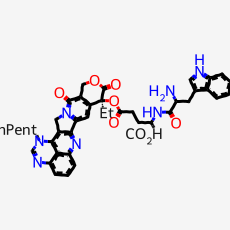 CCCCCN1C=Nc2cccc3nc4c(c1c23)Cn1c-4cc2c(c1=O)COC(=O)[C@@]2(CC)OC(=O)CCC(NC(=O)C(N)Cc1c[nH]c2ccccc12)C(=O)O